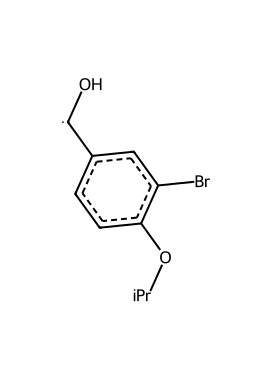 CC(C)Oc1ccc([CH]O)cc1Br